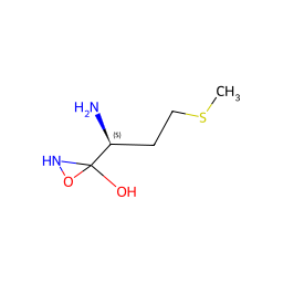 CSCC[C@H](N)C1(O)NO1